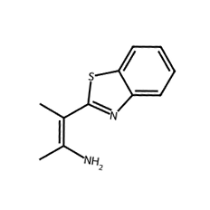 CC(N)=C(C)c1nc2ccccc2s1